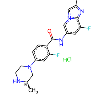 Cc1cn2cc(NC(=O)c3ccc(N4CCN[C@H](C)C4)cc3F)cc(F)c2n1.Cl